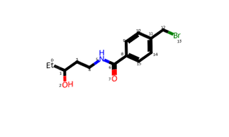 CCC(O)CCNC(=O)c1ccc(CBr)cc1